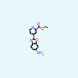 CCOC(=O)c1cc(-c2nc3ccc(N)cc3o2)ccn1